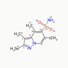 Cc1cn2n[c]([SnH3])c(C)c2c(C)c1S(N)(=O)=O